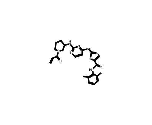 C=CC(=O)N1CCCC(Nc2nccc(Nc3ncc(C(=O)Nc4c(C)cccc4C)s3)n2)C1